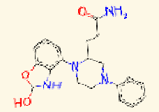 NC(=O)CCC1CN(c2ccccc2)CCN1c1cccc2c1NC(O)O2